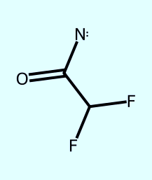 [N]C(=O)C(F)F